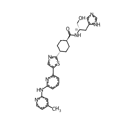 Cc1ccnc(Nc2cccc(-c3cnc([C@H]4CC[C@H](C(=O)N[C@H](CO)Cc5cnc[nH]5)CC4)s3)n2)c1